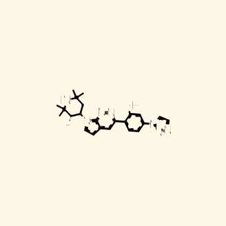 CC1(C)CC(n2ccc3cc(-c4ccc(-n5ccnn5)cc4O)nnc32)[C@@H](F)C(C)(C)N1